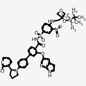 CC(C)(C)[Si](C)(C)OC1(CNc2ccc(S(=O)(=O)NC(=O)c3ccc(-c4ccc(N5CCCC5c5ccccc5Cl)cc4)cc3Oc3cnc4[nH]ccc4c3)cc2[N+](=O)[O-])COC1